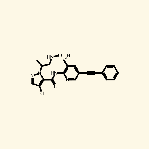 Cc1cc(C#Cc2ccccc2)cnc1NC(=O)c1c(Cl)cnn1C(C)CNC(=O)O